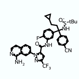 CC(C)(C)[S@@+]([O-])NC(CCC1CC1)(c1ccc(C#N)cc1)c1ccc(F)c(NC(=O)c2cc(C(F)(F)F)nn2-c2ccc3ccnc(N)c3c2)c1